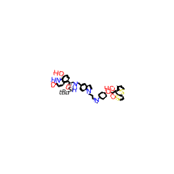 CN(CCCn1ccc2cc(CNC[C@@H](O[Si](C)(C)C(C)(C)C)c3ccc(O)c4[nH]c(=O)ccc34)ccc21)C1CCC(OC(=O)C(O)(c2cccs2)c2cccs2)CC1